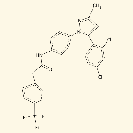 CCC(F)(F)c1ccc(CC(=O)Nc2ccc(-n3nc(C)cc3-c3ccc(Cl)cc3Cl)cc2)cc1